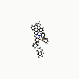 c1ccc(C2(c3ccccc3)c3ccccc3-c3ccc(N(c4ccc(-c5cccc(-c6ccc7ccccc7c6)c5)cc4)c4cccc5c4sc4ccccc45)cc32)cc1